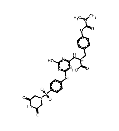 CN(C)C(=O)Oc1ccc(C[C@H](Nc2nc(O)nc(Nc3ccc(S(=O)(=O)N4CC(=O)NC(=O)C4)cc3)n2)C(=O)O)cc1